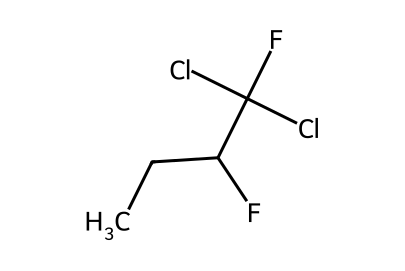 CCC(F)C(F)(Cl)Cl